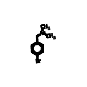 C[As](C)Cc1ccc(Br)cc1